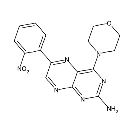 Nc1nc(N2CCOCC2)c2nc(-c3ccccc3[N+](=O)[O-])cnc2n1